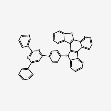 c1ccc(-c2cc(-c3ccc(-n4c5ccccc5c5c6cccnc6c6oc7ccccc7c6c54)cc3)nc(-c3ccccc3)n2)cc1